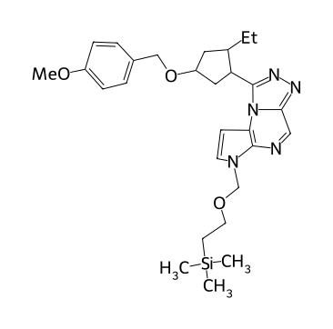 CCC1CC(OCc2ccc(OC)cc2)CC1c1nnc2cnc3c(ccn3COCC[Si](C)(C)C)n12